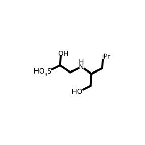 CC(C)CC(CO)NCC(O)S(=O)(=O)O